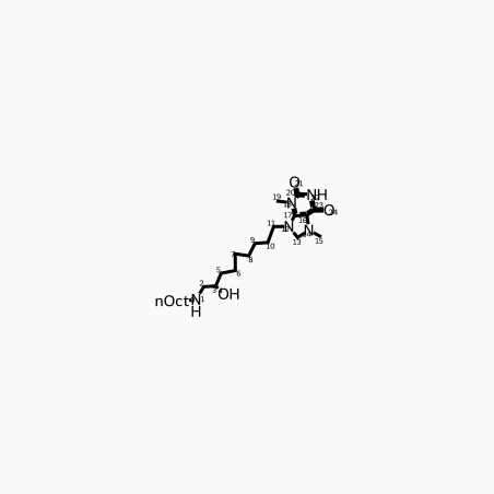 CCCCCCCCNCC(O)CCCCCCCN1CN(C)c2c1n(C)c(=O)[nH]c2=O